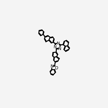 c1ccc(-c2ccc3cc(-c4nc(-c5ccc6cc(-c7nc8ccccc8o7)ccc6c5)nc(-c5cccc6ccccc56)n4)ccc3c2)cc1